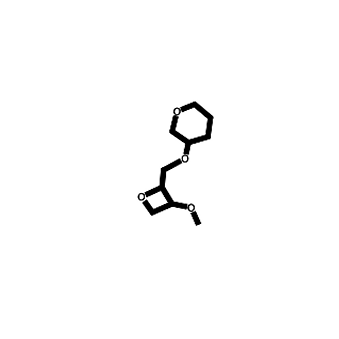 COC1COC1COC1CCCOC1